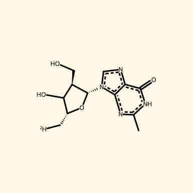 [2H]C[C@H]1O[C@@H](n2cnc3c(=O)[nH]c(C)nc32)[C@H](CO)C1O